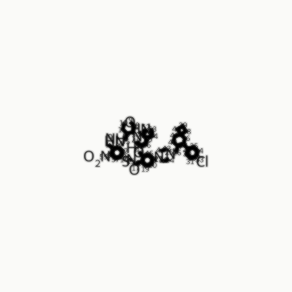 N=Cc1c(NCC2CCOCC2)cc(SNC(=O)c2ccc(N3CCN(CC4=C(c5ccc(Cl)cc5)CC5(CCC5)CC4)CC3)cc2Oc2cnc3[nH]ccc3c2)cc1[N+](=O)[O-]